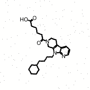 O=C(O)CCCCC(=O)N1CCc2c(n(CCCCC3CCCCC3)c3ncccc23)C1